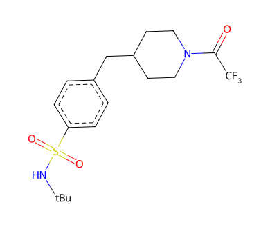 CC(C)(C)NS(=O)(=O)c1ccc(CC2CCN(C(=O)C(F)(F)F)CC2)cc1